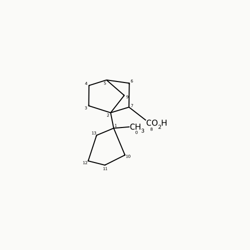 CC1(C23CCC(CC2C(=O)O)C3)CCCC1